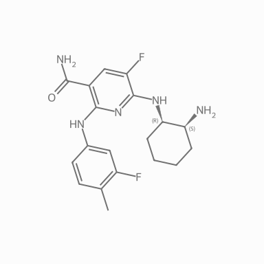 Cc1ccc(Nc2nc(N[C@@H]3CCCC[C@@H]3N)c(F)cc2C(N)=O)cc1F